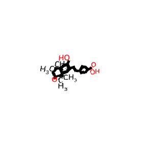 CC1(C)CC(=O)C(C)(C)c2cc(C=Cc3ccc(C(=O)O)cc3)c(CO)cc21